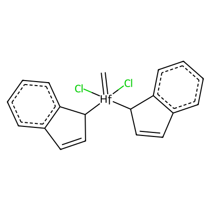 [CH2]=[Hf]([Cl])([Cl])([CH]1C=Cc2ccccc21)[CH]1C=Cc2ccccc21